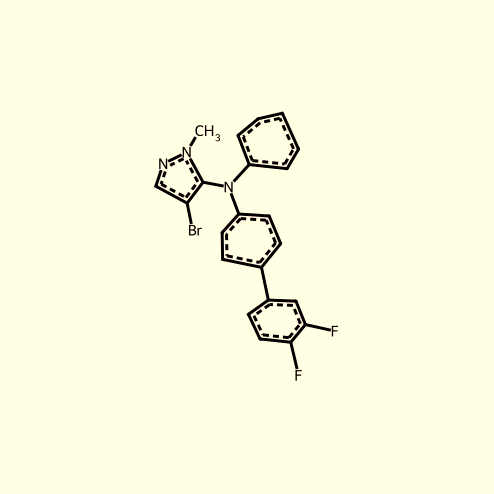 Cn1ncc(Br)c1N(c1ccccc1)c1ccc(-c2ccc(F)c(F)c2)cc1